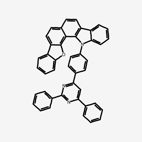 c1ccc(-c2cc(-c3ccc(-n4c5ccccc5c5ccc6ccc7c8ccccc8oc7c6c54)cc3)nc(-c3ccccc3)n2)cc1